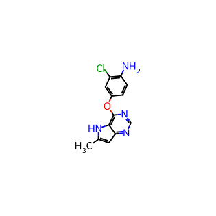 Cc1cc2ncnc(Oc3ccc(N)c(Cl)c3)c2[nH]1